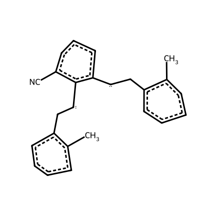 Cc1ccccc1C[C]c1cccc(C#N)c1[C]Cc1ccccc1C